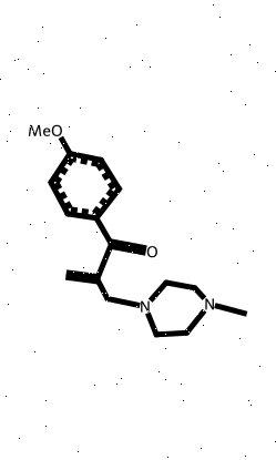 C=C(CN1CCN(C)CC1)C(=O)c1ccc(OC)cc1